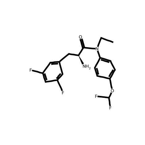 CCN(C(=O)[C@@H](N)Cc1cc(F)cc(F)c1)c1ccc(OC(F)F)cc1